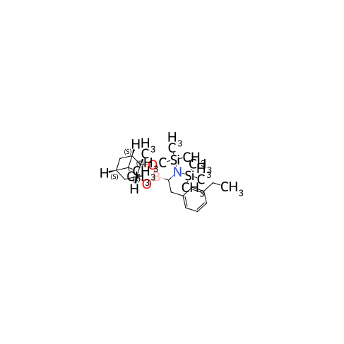 CCc1cccc(CC(B2O[C@@H]3C[C@@H]4C[C@@H](C4(C)C)[C@]3(C)O2)N([Si](C)(C)C)[Si](C)(C)C)c1